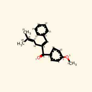 COc1ccc(C(=O)C(=Cc2ccccc2)CC=C(C)C)cc1